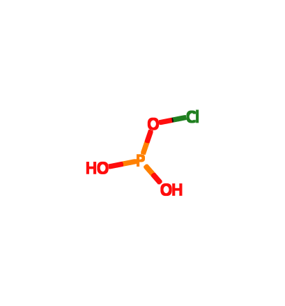 OP(O)OCl